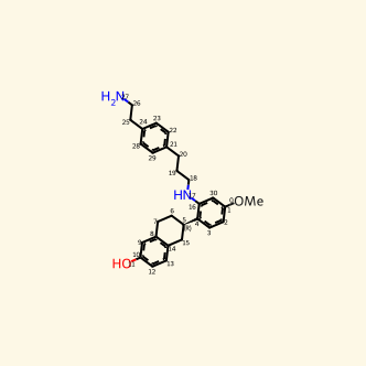 COc1ccc([C@@H]2CCc3cc(O)ccc3C2)c(NCCCc2ccc(CCN)cc2)c1